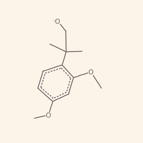 COc1ccc(C(C)(C)C[O])c(OC)c1